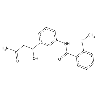 COc1ccccc1C(=O)Nc1cccc(C(O)CC(N)=O)c1